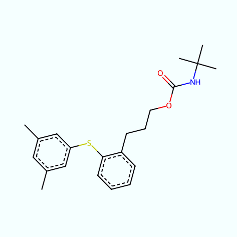 Cc1cc(C)cc(Sc2ccccc2CCCOC(=O)NC(C)(C)C)c1